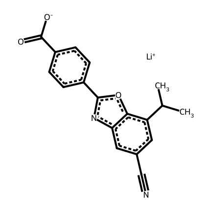 CC(C)c1cc(C#N)cc2nc(-c3ccc(C(=O)[O-])cc3)oc12.[Li+]